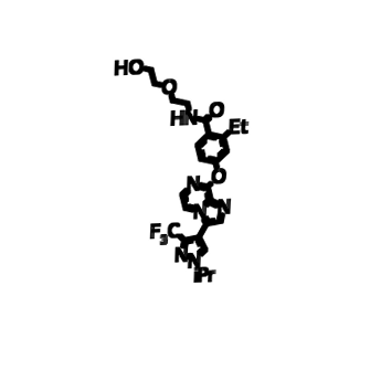 CCc1cc(Oc2nccn3c(-c4cn(C(C)C)nc4C(F)(F)F)cnc23)ccc1C(=O)NCCOCCO